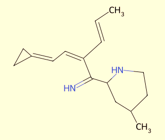 C/C=C/C(=C/C=C1CC1)C(=N)C1CC(C)CCN1